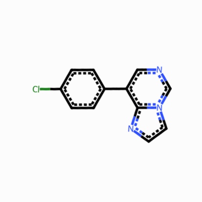 Clc1ccc(-c2cncn3ccnc23)cc1